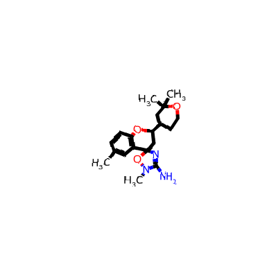 Cc1ccc2c(c1)C1(CC(C3CCOC(C)(C)C3)O2)N=C(N)N(C)O1